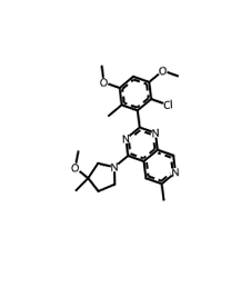 COc1cc(OC)c(Cl)c(-c2nc(N3CCC(C)(OC)C3)c3cc(C)ncc3n2)c1C